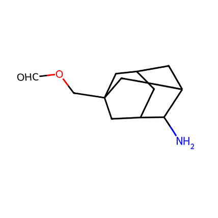 NC1C2CC3CC1CC(COC=O)(C3)C2